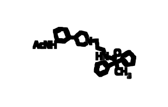 CC(=O)Nc1cccc(C2CCN(CCCNC(=O)C(C)(c3ccccc3)c3ccccc3)CC2)c1